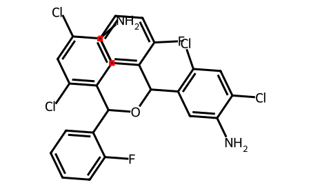 Nc1cc(C(OC(c2ccccc2F)c2cc(N)c(Cl)cc2Cl)c2ccccc2F)c(Cl)cc1Cl